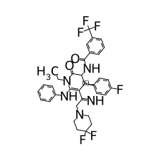 CCN1C(=O)C(NC(=O)c2cccc(C(F)(F)F)c2)[C@@H](c2ccc(F)cc2)C(C(=N)CN2CCC(F)(F)CC2)=C1Nc1ccccc1